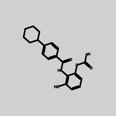 CCCC(=O)Oc1cccc(O)c1NC(=O)c1ccc(C2CCCCC2)cc1